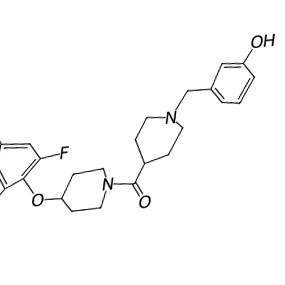 O=C(C1CCN(Cc2cccc(O)c2)CC1)N1CCC(Oc2c(F)cc(F)cc2F)CC1